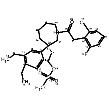 CCc1ccc([C@@]2(CCOS(C)(=O)=O)CCCCN(C(=O)Cc3c(F)cccc3Cl)C2)cc1CC